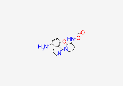 Nc1cccc2c1CCN=C2N1CCCC(NOC=O)C1=O